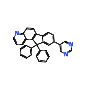 c1ccc(C2(c3ccccc3)c3cc(-c4cncnc4)ccc3-c3ccc4ncccc4c32)cc1